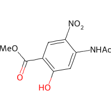 COC(=O)c1cc([N+](=O)[O-])c(NC(C)=O)cc1O